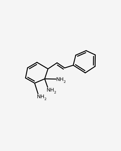 NC1=CC=CC(C=Cc2ccccc2)C1(N)N